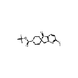 COc1ccc2c(n1)CC1(CCN(C(=O)OC(C)(C)C)CC1)C2=O